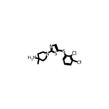 CC1(N)CCN(c2ncc(Sc3cccc(Cl)c3Cl)s2)CC1